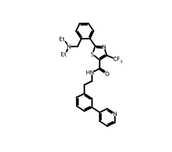 CCN(CC)Cc1ccccc1-c1nc(C(F)(F)F)c(C(=O)NCCc2cccc(-c3cccnc3)c2)s1